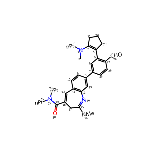 CCCN(C)C1=C(c2cc(-c3ccc4c(c3)N=C(NC)CC(C(=O)N(CCC)CCC)=C4)ccc2C=O)CCC1